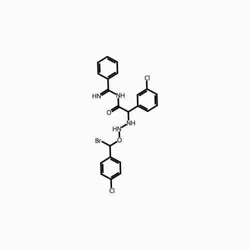 N=C(NC(=O)C(NNOC(Br)c1ccc(Cl)cc1)c1cccc(Cl)c1)c1ccccc1